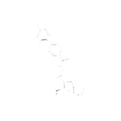 Cc1cnc(-c2ccc(C(=O)NCC(=O)N3CC4(C[C@H]3C(=O)O)OCCO4)cc2)c(C)c1